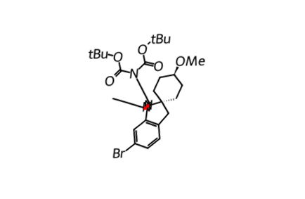 CO[C@H]1CC[C@]2(CC1)Cc1ccc(Br)cc1C21N=C(C)C(N(C(=O)OC(C)(C)C)C(=O)OC(C)(C)C)=N1